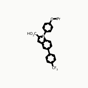 CC(C)Oc1ccc(-n2c(C(=O)O)cc3cc(-c4ccc(C(F)(F)F)cc4)ccc32)cc1